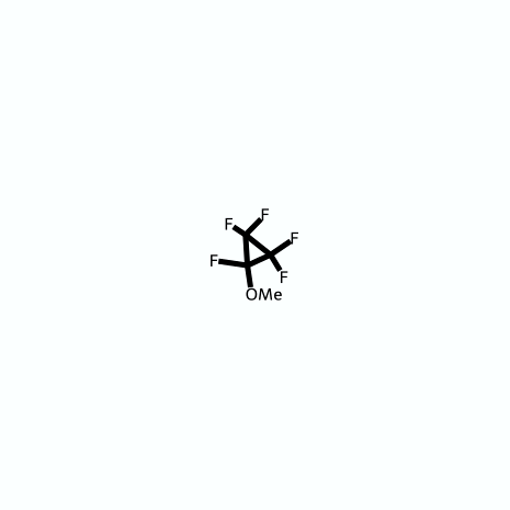 COC1(F)C(F)(F)C1(F)F